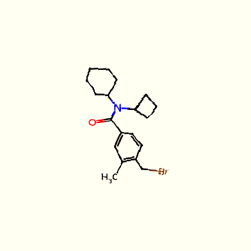 Cc1cc(C(=O)N(C2CCCCC2)C2CCC2)ccc1CBr